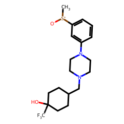 C[S+]([O-])c1cccc(N2CCN(CC3CCC(O)(C(F)(F)F)CC3)CC2)c1